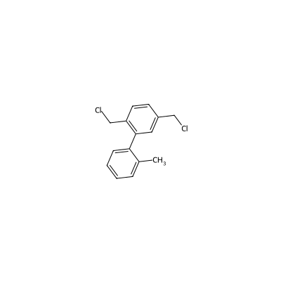 Cc1ccccc1-c1cc(CCl)ccc1CCl